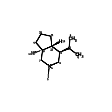 CC(C)[C@H]1CN(I)C[C@H]2CCC[C@@H]21